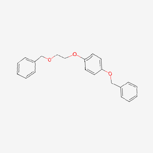 c1ccc(COCCOc2ccc(OCc3ccccc3)cc2)cc1